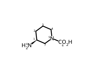 N[C@H]1CCCN(C(=O)O)C1